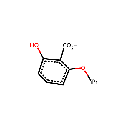 CC(C)Oc1cccc(O)c1C(=O)O